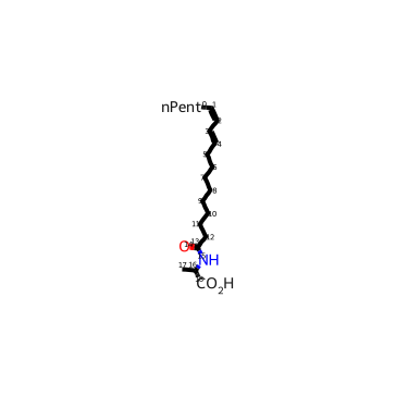 CCCCC/C=C\C=C\CCCCCCCCC(=O)NC(C)C(=O)O